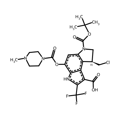 CN1CCN(C(=O)Oc2cc3c(c4c(C(=O)O)c(C(F)(F)F)[nH]c24)[C@H](CCl)CN3C(=O)OC(C)(C)C)CC1